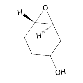 OC1CC[C@@H]2O[C@H]2C1